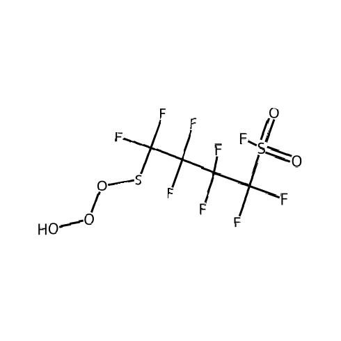 O=S(=O)(F)C(F)(F)C(F)(F)C(F)(F)C(F)(F)SOOO